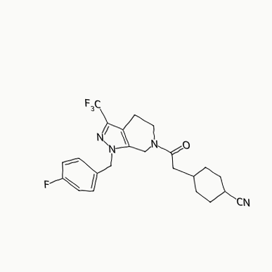 N#CC1CCC(CC(=O)N2CCc3c(C(F)(F)F)nn(Cc4ccc(F)cc4)c3C2)CC1